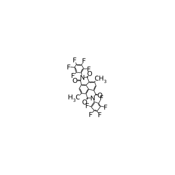 Cc1cc2c3c(c(C)cc4c3c1C(=O)N(c1c(F)c(F)c(F)c(F)c1F)C4=O)C(=O)N(c1c(F)c(F)c(F)c(F)c1F)C2=O